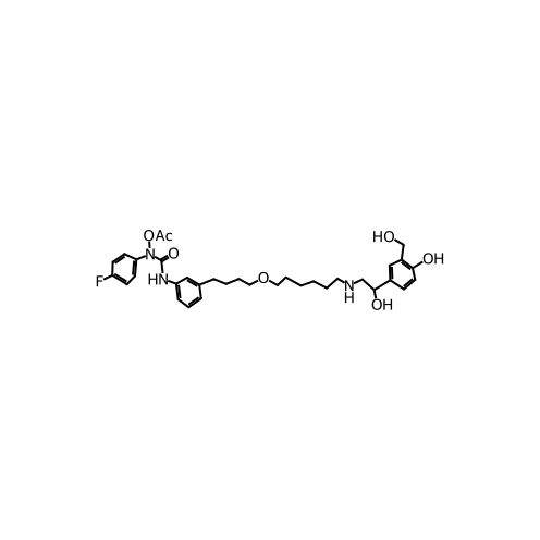 CC(=O)ON(C(=O)Nc1cccc(CCCCOCCCCCCNCC(O)c2ccc(O)c(CO)c2)c1)c1ccc(F)cc1